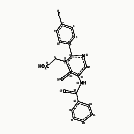 O=C(O)Cn1c(-c2ccc(F)cc2)ncc(NC(=O)c2ccccc2)c1=O